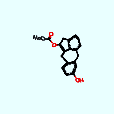 COC(=O)OC1=C2Cc3ccc(O)cc3Cc3cccc(c32)C1